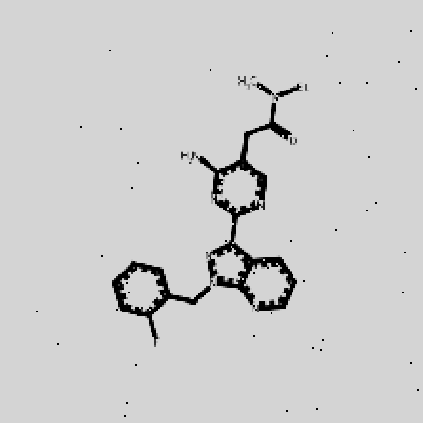 CCN(C)C(=O)Cc1cnc(-c2nn(Cc3ccccc3F)c3ncccc23)nc1N